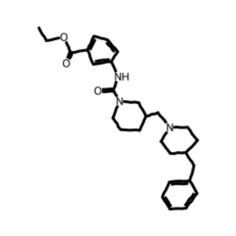 CCOC(=O)c1cccc(NC(=O)N2CCCC(CN3CCC(Cc4ccccc4)CC3)C2)c1